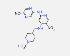 N#Cc1cnc(Nc2cc(NCC3CCN(C(=O)O)CC3)c([N+](=O)[O-])cn2)cn1